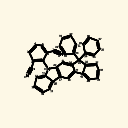 N#Cc1cccc(C#N)c1-n1c2ccccc2c2cc3c(cc21)C(c1ccccc1)(c1ccccc1)c1ccccc1-3